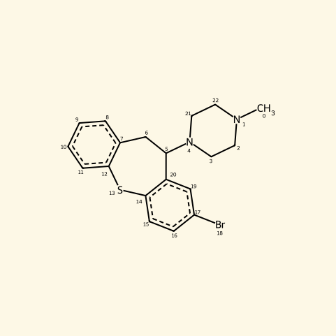 CN1CCN(C2Cc3ccccc3Sc3ccc(Br)cc32)CC1